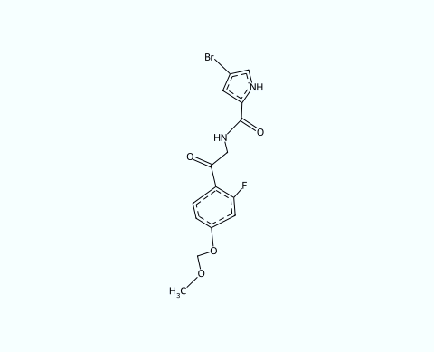 COCOc1ccc(C(=O)CNC(=O)c2cc(Br)c[nH]2)c(F)c1